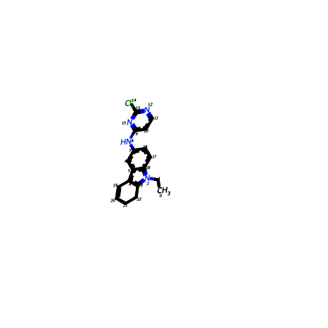 CCn1c2c(c3cc(Nc4ccnc(Cl)n4)ccc31)C=CCC2